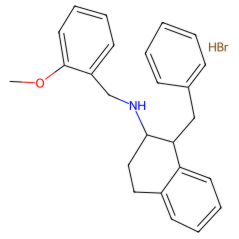 Br.COc1ccccc1CNC1CCc2ccccc2C1Cc1ccccc1